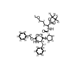 COCCCC(NC(=O)[C@@H]1CCCN1C(=O)[C@@H](Cc1ccccc1)NC(=O)OCc1ccccc1)B1OC(C)(C)C(C)(C)O1